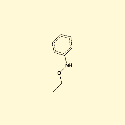 CCONc1cc[c]cc1